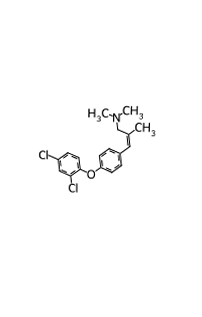 C/C(=C/c1ccc(Oc2ccc(Cl)cc2Cl)cc1)CN(C)C